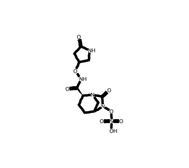 O=C1CC(ONC(=O)[C@@H]2CCC3CN2C(=O)N3OS(=O)(=O)O)CN1